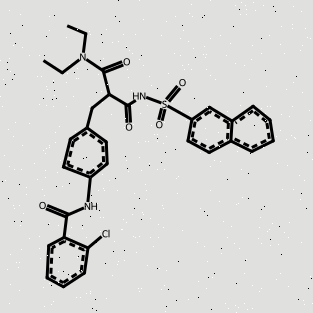 CCN(CC)C(=O)C(Cc1ccc(NC(=O)c2ccccc2Cl)cc1)C(=O)NS(=O)(=O)c1ccc2ccccc2c1